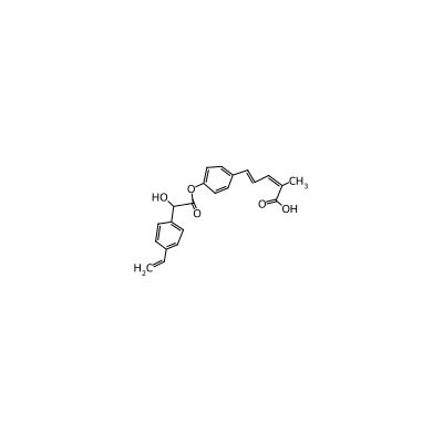 C=Cc1ccc(C(O)C(=O)Oc2ccc(C=CC=C(C)C(=O)O)cc2)cc1